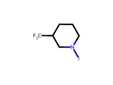 FC(F)(F)C1CCCN(I)C1